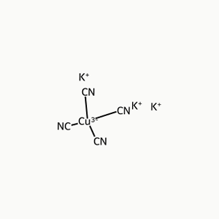 N#[C][Cu-3]([C]#N)([C]#N)[C]#N.[K+].[K+].[K+]